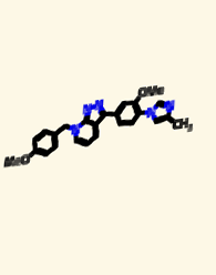 COc1ccc(Cn2cccc3c(-c4ccc(-n5cnc(C)c5)c(OC)c4)nnc2-3)cc1